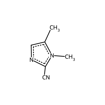 Cc1cnc(C#N)n1C